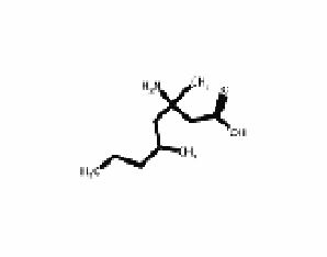 CCCC(C)CC(C)(N)CC(=O)O